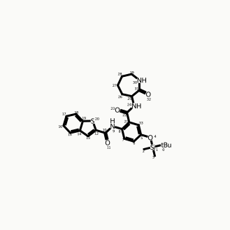 CC(C)(C)[Si](C)(C)Oc1ccc(NC(=O)c2cc3ccccc3s2)c(C(=O)NC2CCCCNC2=O)c1